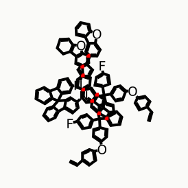 C=Cc1ccc(Oc2ccc(C3(c4ccc(F)cc4)c4ccccc4-c4ccc(N(c5ccc(-c6ccc7oc8c(c7c6)CCC=C8)cc5)c5ccc6c(c5)C5(c7ccccc7-6)c6ccccc6-c6ccc(N(c7ccc(-c8ccc9oc%10ccccc%10c9c8)cc7)c7ccc8c(c7)C(c7ccc(F)cc7)(c7ccc(Oc9ccc(C=C)cc9)cc7)c7ccccc7-8)cc65)cc43)cc2)cc1